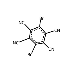 N#Cc1c(Br)c(C#N)c(C#N)c(Br)c1C#N